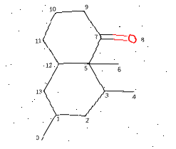 CC1CC(C)C2(C)C(=O)CCCC2C1